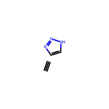 C#C.c1c[nH]nn1